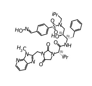 CC(C)CN(C[C@H](O)[C@H](Cc1ccccc1)NC(=O)[C@H](C(C)C)N1CC(=O)N(Cc2nc3cccnc3n2C)C1=O)S(=O)(=O)c1ccc(C=NO)cc1